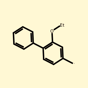 [CH2]c1ccc(-c2ccccc2)c(OCC)c1